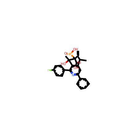 C=CC(C(=O)O)([PH](=O)O)C(C)(O)c1c(C(C)C)cc(-c2ccccc2)nc1-c1ccc(F)cc1